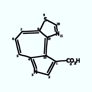 O=C(O)c1cnc2cccc3scnc3c1-2